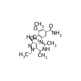 C=C(N/C(C)=N/c1cc(C(N)=O)cc(OC)c1C)c1cc(C)nn1CC